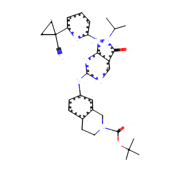 CC(C)n1c(=O)c2cnc(Nc3ccc4c(c3)CN(C(=O)OC(C)(C)C)CC4)nc2n1-c1cccc(C2(C#N)CC2)n1